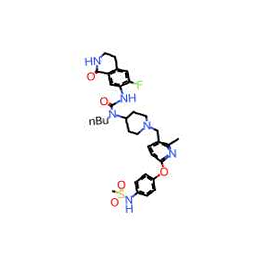 CCCCN(C(=O)Nc1cc2c(cc1F)CCNC2=O)C1CCN(Cc2ccc(Oc3ccc(NS(C)(=O)=O)cc3)nc2C)CC1